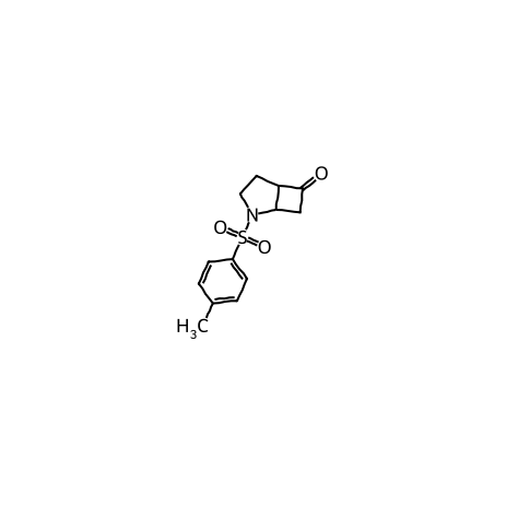 Cc1ccc(S(=O)(=O)N2CCC3C(=O)CC32)cc1